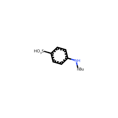 CCCCNc1ccc(S(=O)(=O)O)cc1